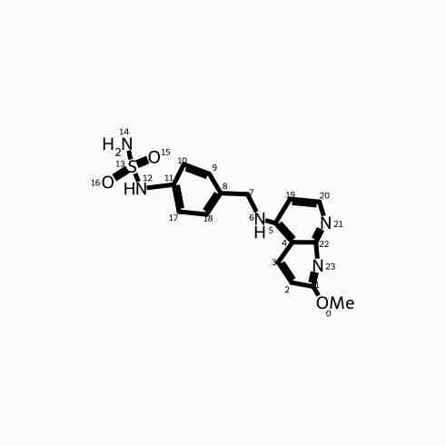 COc1ccc2c(NCc3ccc(NS(N)(=O)=O)cc3)ccnc2n1